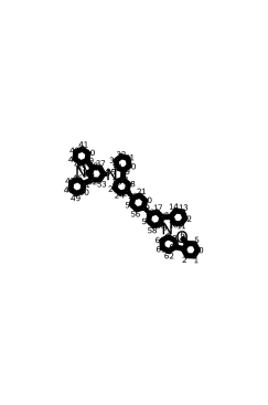 c1ccc2c(c1)oc1c(-n3c4ccccc4c4cc(-c5ccc(-c6ccc7c(c6)c6ccccc6n7-c6cc7c8ccccc8n8c9ccccc9c(c6)c78)cc5)ccc43)cccc12